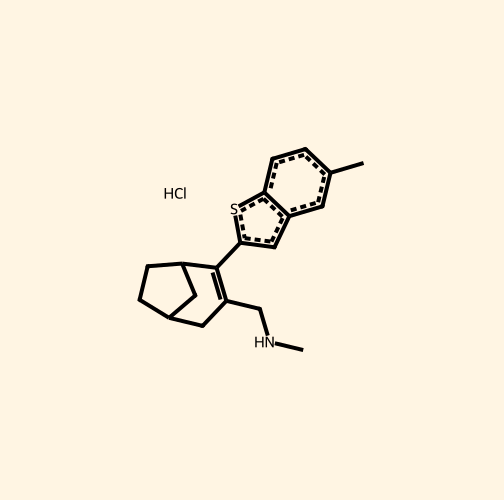 CNCC1=C(c2cc3cc(C)ccc3s2)C2CCC(C1)C2.Cl